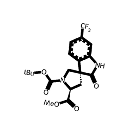 COC(=O)[C@@H]1C[C@@]2(CN1C(=O)OC(C)(C)C)C(=O)Nc1cc(C(F)(F)F)ccc12